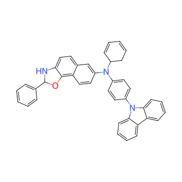 C1=CCC(N(c2ccc(-n3c4ccccc4c4ccccc43)cc2)c2ccc3c4c(ccc3c2)NC(c2ccccc2)O4)C=C1